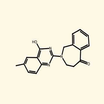 Cc1ccc2nc(N3CCC(=O)c4ccccc4C3)nc(O)c2c1